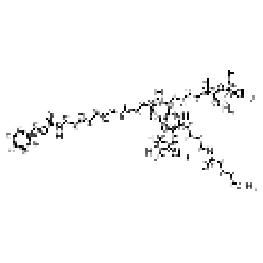 CCCCCC(=O)NCCCC[C@H](NC(=O)[C@H](CCCCNC(=O)OC(C)(C)C)NC(=O)CCOCCOCCOCCNC(=O)OCc1ccccc1)C(=O)OC(C)(C)C